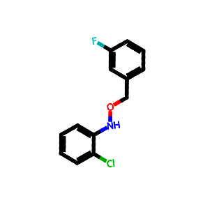 Fc1cccc(CONc2ccccc2Cl)c1